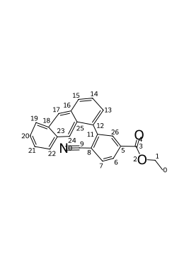 CCOC(=O)c1ccc(C#N)c(-c2cccc3cc4ccccc4cc23)c1